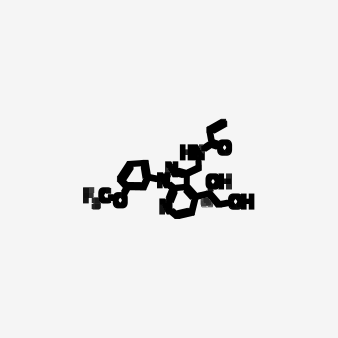 C=CC(=O)NCc1nn(-c2cccc(OC(F)(F)F)c2)c2nccc([C@H](O)CO)c12